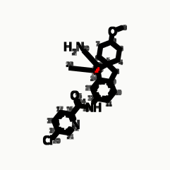 COC1CCC2(CC1)Cc1ccc(NC(=O)c3ccc(Cl)cn3)cc1C21N=C(C)C(N)=N1